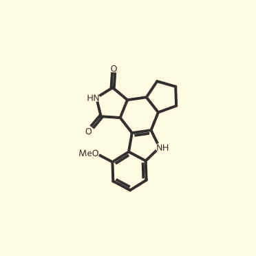 COc1cccc2[nH]c3c(c12)C1C(=O)NC(=O)C1C1CCCC31